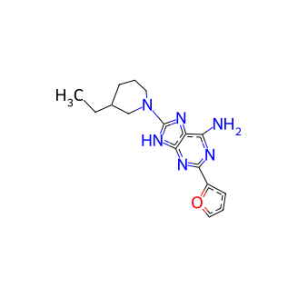 CCC1CCCN(c2nc3c(N)nc(-c4ccco4)nc3[nH]2)C1